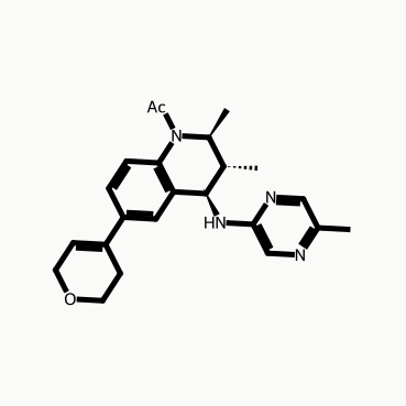 CC(=O)N1c2ccc(C3=CCOCC3)cc2[C@H](Nc2cnc(C)cn2)[C@@H](C)[C@@H]1C